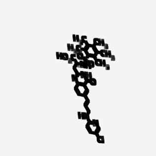 Cc1c(C)c(C)c(S(=O)(=O)N[C@@H](Cc2nc3ccc(C=CCNc4ccc(Cl)cn4)cc3c(=O)[nH]2)C(=O)O)c(C)c1C